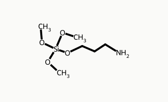 CO[Si](OC)(OC)OCCCN